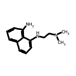 CN(C)CCNc1cccc2cccc(N)c12